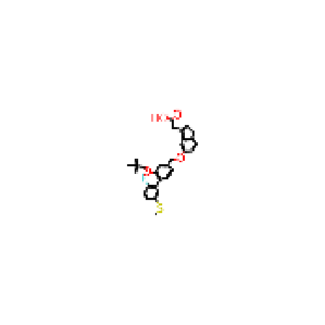 CSc1ccc(F)c(-c2ccc(COc3ccc4c(c3)[C@@H](CC(=O)O)CC4)cc2OCC(C)(C)C)c1